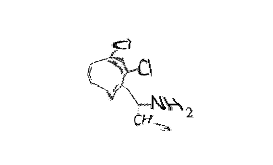 C[C@@H](N)c1cccc(Cl)c1Cl